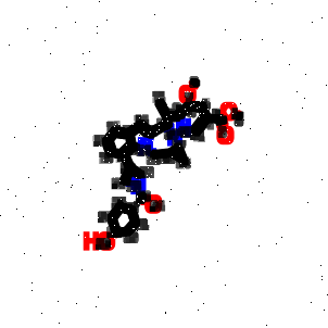 COC(=O)c1cc(OC)c2c(C)c(-c3cc4cccc(C5CN(C(=O)[C@H]6CC[C@H](O)CC6)C5)c4n3CC3CC3)nn2c1